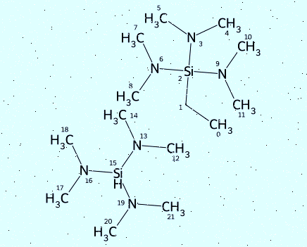 CC[Si](N(C)C)(N(C)C)N(C)C.CN(C)[SiH](N(C)C)N(C)C